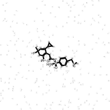 CC(C)C1=C(CC(=O)N=S(N)(=O)c2ccc(CN(C)C)cc2)C(C2CC2)=CC(C)(F)C1